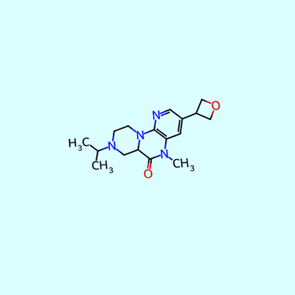 CC(C)N1CCN2c3ncc(C4COC4)cc3N(C)C(=O)C2C1